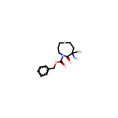 CC1(N)CCCCCCN(C(=O)OCc2ccccc2)C1=O